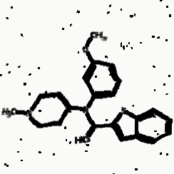 COc1cccc(N(C2CCN(C)CC2)C(O)c2cc3ccccc3s2)c1